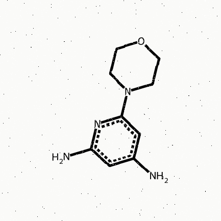 Nc1cc(N)nc(N2CCOCC2)c1